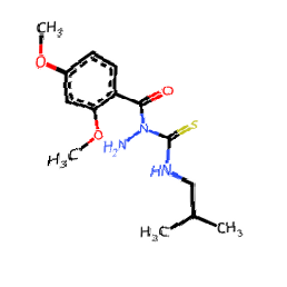 COc1ccc(C(=O)N(N)C(=S)NCC(C)C)c(OC)c1